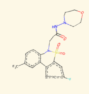 O=C(CN1c2ccc(C(F)(F)F)cc2-c2ccc(F)cc2S1(=O)=O)NN1CCOCC1